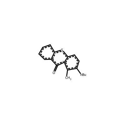 CCCCc1ccc2sc3ccccc3c(=O)c2c1C